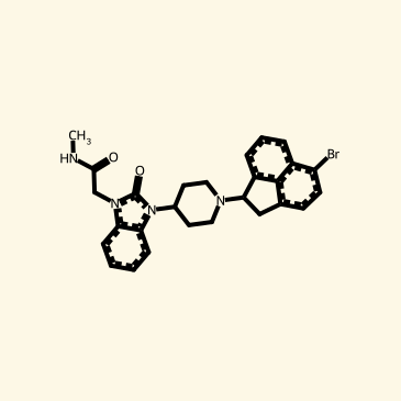 CNC(=O)Cn1c(=O)n(C2CCN(C3Cc4ccc(Br)c5cccc3c45)CC2)c2ccccc21